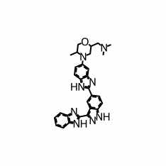 CC1COC(CN(C)C)CN1c1ccc2[nH]c(-c3ccc4[nH]nc(-c5nc6ccccc6[nH]5)c4c3)nc2c1